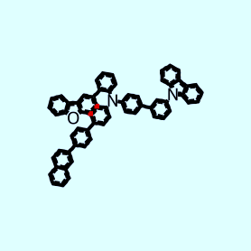 c1cc(-c2ccc(N(c3ccc(-c4ccc(-c5ccc6ccccc6c5)cc4)cc3)c3ccccc3-c3ccc4oc5ccccc5c4c3)cc2)cc(-n2c3ccccc3c3ccccc32)c1